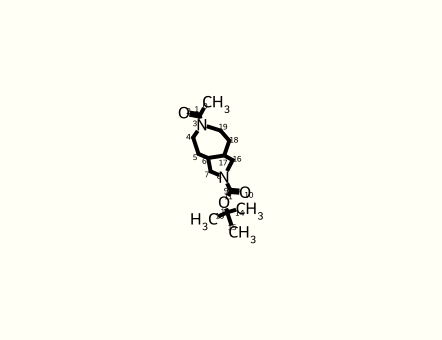 CC(=O)N1CCC2CN(C(=O)OC(C)(C)C)CC2CC1